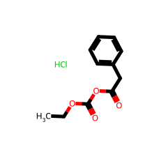 CCOC(=O)OC(=O)Cc1ccccc1.Cl